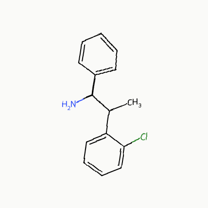 CC(c1ccccc1Cl)C(N)c1ccccc1